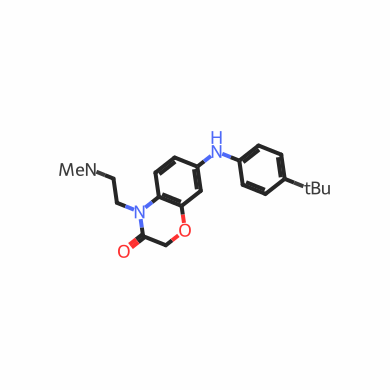 CNCCN1C(=O)COc2cc(Nc3ccc(C(C)(C)C)cc3)ccc21